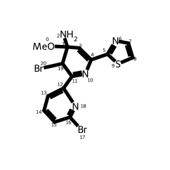 COC1(N)C=C(c2nccs2)N=C(c2cccc(Br)n2)C1Br